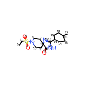 CCS(=O)(=O)N1CCC2(CC1)N=C(C1CCC(C)CC1)NC2=O